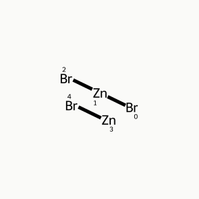 [Br][Zn][Br].[Zn][Br]